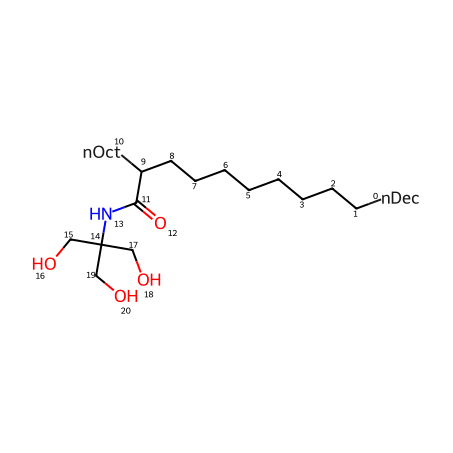 CCCCCCCCCCCCCCCCCCC(CCCCCCCC)C(=O)NC(CO)(CO)CO